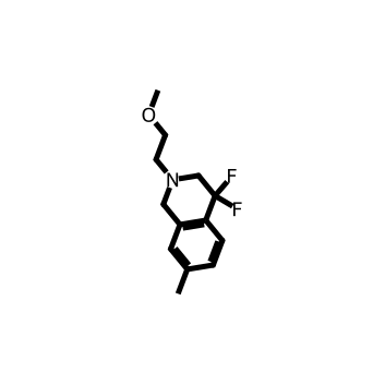 COCCN1Cc2cc(C)ccc2C(F)(F)C1